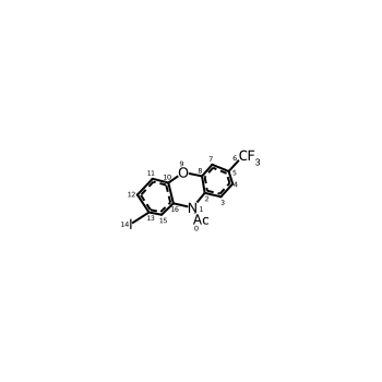 CC(=O)N1c2ccc(C(F)(F)F)cc2Oc2ccc(I)cc21